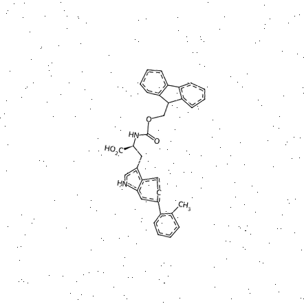 Cc1ccccc1-c1ccc2c(C[C@H](NC(=O)OCC3c4ccccc4-c4ccccc43)C(=O)O)c[nH]c2c1